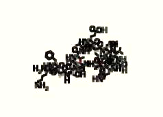 CC(C)[C@H](NC(=O)[C@H](CC(N)=O)NC(=O)[C@H](CO)NC(=O)[C@H](C)NC(=O)[C@H](Cc1ccccc1)NC(=O)[C@@H](N)CCCCN)C(=O)N[C@H](C(=O)N[C@@H](CCC(=O)O)C(=O)N[C@@H](CCCCN)C(=O)N[C@@H](CS)C(=O)N[C@H](C(=O)N[C@H](C(=O)N[C@@H](Cc1c[nH]cn1)C(=O)N[C@@H](C)C(=O)O)[C@@H](C)O)C(C)C)C(C)C